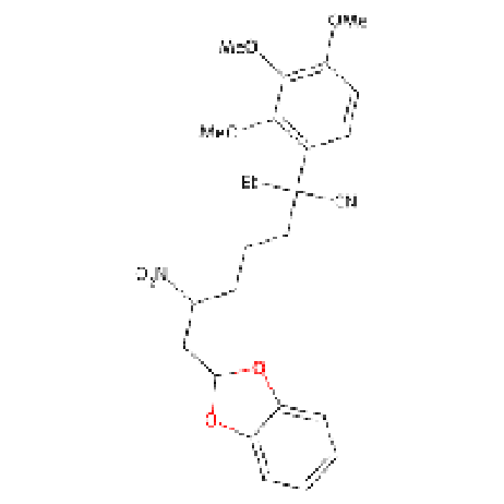 CCC(C#N)(CCCC(CC1Oc2ccccc2O1)[N+](=O)[O-])c1ccc(OC)c(OC)c1OC